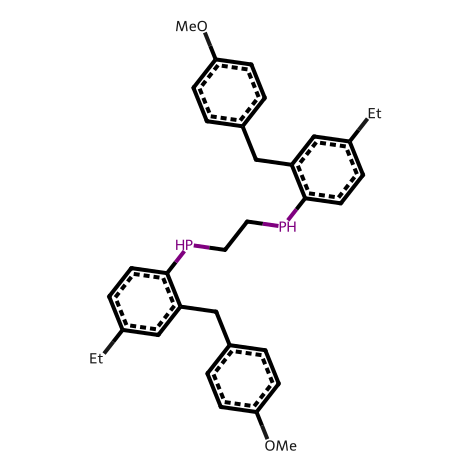 CCc1ccc(PCCPc2ccc(CC)cc2Cc2ccc(OC)cc2)c(Cc2ccc(OC)cc2)c1